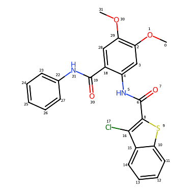 COc1cc(NC(=O)c2sc3ccccc3c2Cl)c(C(=O)Nc2ccccc2)cc1OC